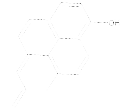 C=C/C=c1/ccc2ccc(O)c3ccc(C)c1c23